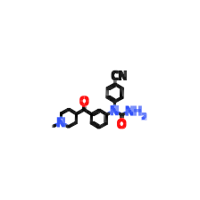 CN1CCC(C(=O)c2cccc(N(C(N)=O)c3ccc(C#N)cc3)c2)CC1